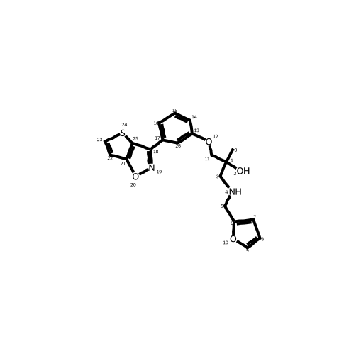 CC(O)(CNCc1ccco1)COc1cccc(-c2noc3ccsc23)c1